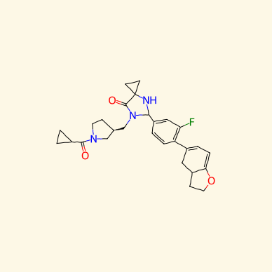 O=C(C1CC1)N1CC[C@@H](CN2C(=O)C3(CC3)NC2c2ccc(C3=CC=C4OCCC4C3)c(F)c2)C1